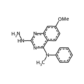 COc1ccc2c(N(C)c3ccccc3)nc(NN)nc2c1